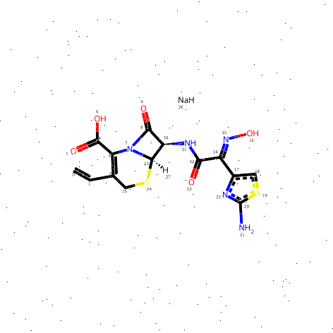 C=CC1=C(C(=O)O)N2C(=O)[C@@H](NC(=O)C(=NO)c3csc(N)n3)[C@H]2SC1.[NaH]